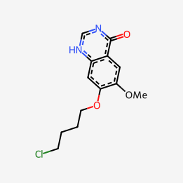 COc1cc2c(=O)nc[nH]c2cc1OCCCCCl